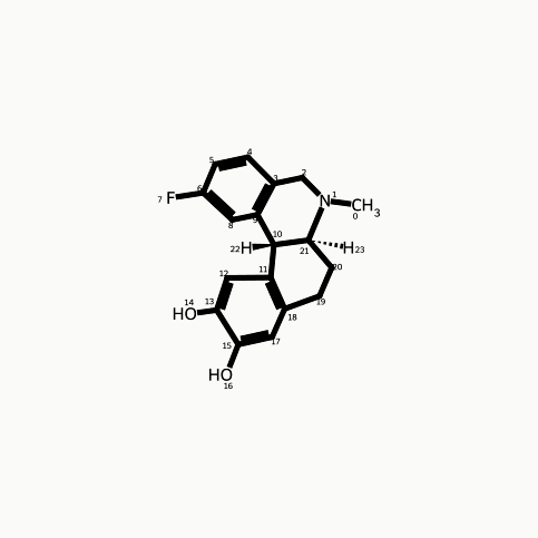 CN1Cc2ccc(F)cc2[C@H]2c3cc(O)c(O)cc3CC[C@@H]21